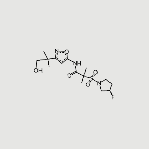 CC(C)(CO)c1cc(NC(=O)C(C)(C)S(=O)(=O)N2CC[C@@H](F)C2)on1